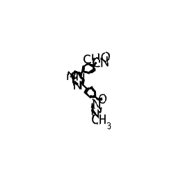 CN1CCN(C(=O)c2ccc(-c3cn4c(-c5ccc(C#N)c(C=O)c5)cnc4cn3)cc2)CC1